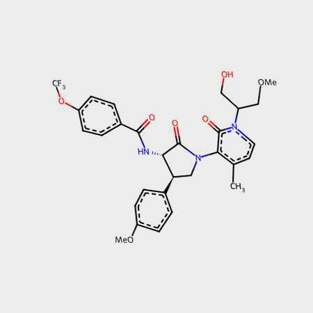 COCC(CO)n1ccc(C)c(N2C[C@@H](c3ccc(OC)cc3)[C@H](NC(=O)c3ccc(OC(F)(F)F)cc3)C2=O)c1=O